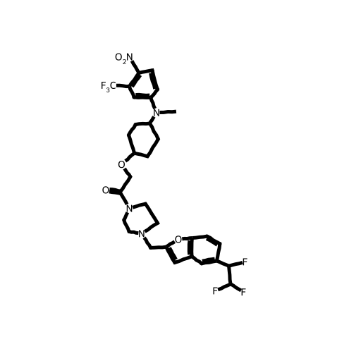 CN(c1ccc([N+](=O)[O-])c(C(F)(F)F)c1)C1CCC(OCC(=O)N2CCN(Cc3cc4cc(C(F)C(F)F)ccc4o3)CC2)CC1